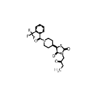 CCC(=O)CN1C(=O)SC(=C2CCN(C(=O)c3ccccc3C(F)(F)F)CC2)C1=O